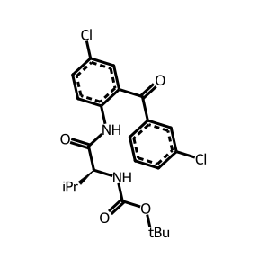 CC(C)[C@H](NC(=O)OC(C)(C)C)C(=O)Nc1ccc(Cl)cc1C(=O)c1cccc(Cl)c1